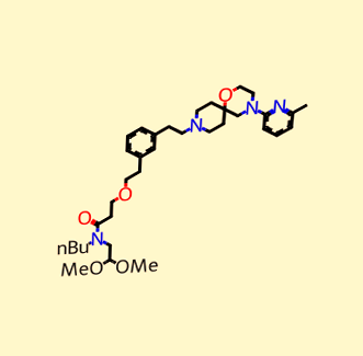 CCCCN(CC(OC)OC)C(=O)CCOCCc1cccc(CCN2CCC3(CC2)CN(c2cccc(C)n2)CCO3)c1